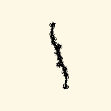 C=C(C)C(=O)OCCCCCCOc1ccc(C(=O)Oc2ccc(CNc3ccc(N=Nc4ccc(-c5ccc(N=Nc6ccc(NCc7ccc(OC(=O)c8ccc(OCCCCCCOC(=O)C(=C)C)cc8)cc7)c7ccccc67)c(C)c5)cc4C)c4ccccc34)cc2)cc1